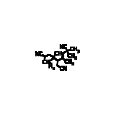 CC(C#N)CC(C)(C)C(CC#N)C(C)CC(C)(C)C#N